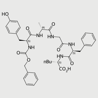 CCCC[C@H](NC(=O)[C@H](Cc1ccccc1)NC(=O)CNC(=O)[C@@H](C)NC(=O)[C@H](Cc1ccc(O)cc1)NC(=O)OCc1ccccc1)C(=O)O